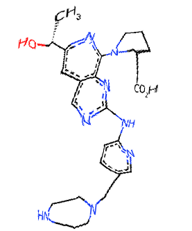 C[C@@H](O)c1cc2cnc(Nc3ccc(CN4CCNCC4)cn3)nc2c(N2CCCC2C(=O)O)n1